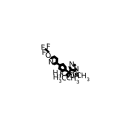 COc1ncncc1C(O)(c1ccc(-c2ccc(OCC(F)(F)F)nc2)cc1F)C(C)(C)C